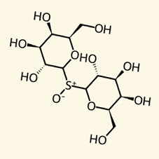 [O-][S+](C1O[C@H](CO)[C@H](O)[C@H](O)[C@H]1O)C1O[C@H](CO)[C@H](O)[C@H](O)[C@H]1O